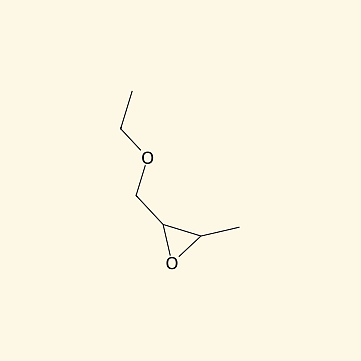 CCOCC1OC1C